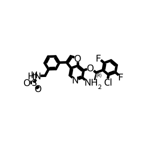 C[C@@H](Oc1c(N)ncc2c(-c3cccc(CN[SH](=O)=O)c3)coc12)c1c(F)ccc(F)c1Cl